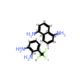 Nc1cccc(C(F)(F)F)c1N.Nc1cccc2c(N)cccc12